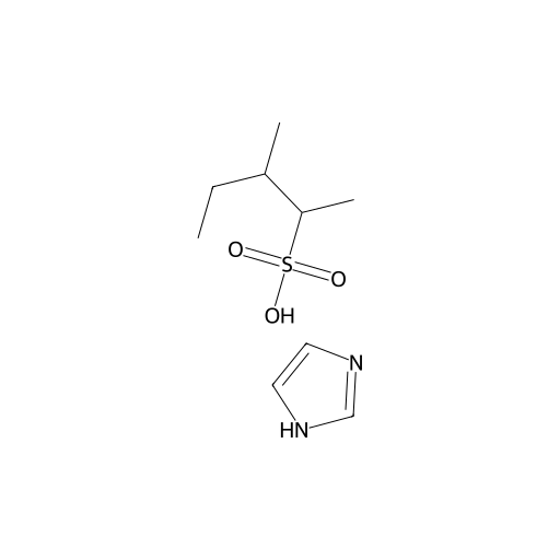 CCC(C)C(C)S(=O)(=O)O.c1c[nH]cn1